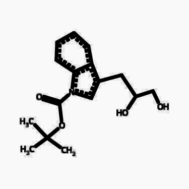 CC(C)(C)OC(=O)n1cc(CC(O)CO)c2ccccc21